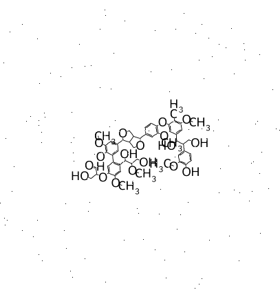 COc1cc(C(CO)C(O)c2cc(OC)c(C)c(Oc3ccc(C4OCC5C(c6cc(OC)c(O)c(-c7cc(OC(C=O)CO)c(OC)cc7C(O)C(CO)OC)c6)OCC45)cc3OC)c2)ccc1O